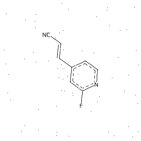 N#C/C=C/c1ccnc(F)c1